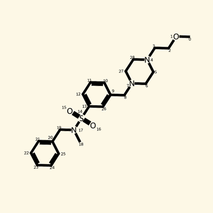 COCCN1CCN(Cc2cccc(S(=O)(=O)N(C)Cc3ccccc3)c2)CC1